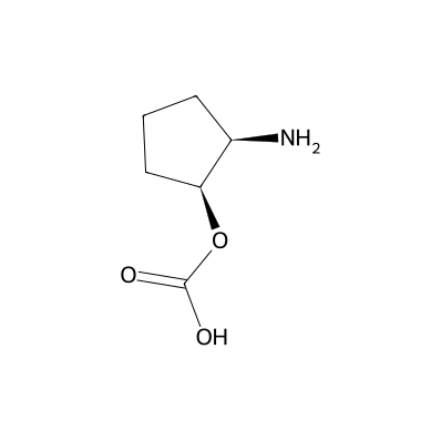 N[C@@H]1CCC[C@@H]1OC(=O)O